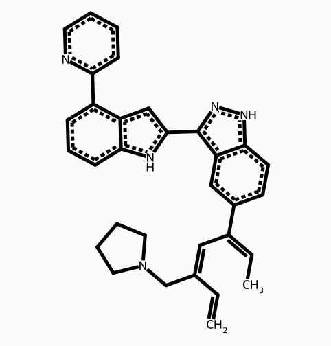 C=C/C(=C\C(=C/C)c1ccc2[nH]nc(-c3cc4c(-c5ccccn5)cccc4[nH]3)c2c1)CN1CCCC1